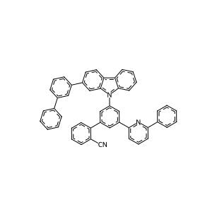 N#Cc1ccccc1-c1cc(-c2cccc(-c3ccccc3)n2)cc(-n2c3ccccc3c3ccc(-c4cccc(-c5ccccc5)c4)cc32)c1